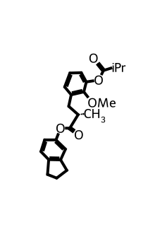 COc1c(C[C@H](C)C(=O)Oc2ccc3c(c2)CCC3)cccc1OC(=O)C(C)C